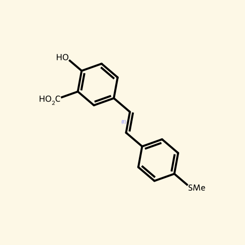 CSc1ccc(/C=C/c2ccc(O)c(C(=O)O)c2)cc1